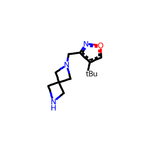 CC(C)(C)c1conc1CN1CC2(CNC2)C1